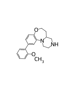 COc1ccccc1-c1ccc2c(c1)N1CCNCC1CCO2